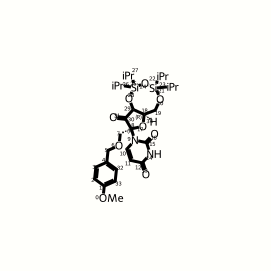 COc1ccc(COC[C@@]2(n3ccc(=O)[nH]c3=O)O[C@@H]3CO[Si](C(C)C)(C(C)C)O[Si](C(C)C)(C(C)C)OC3C2=O)cc1